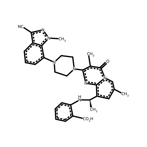 Cc1cc([C@@H](C)Nc2ccccc2C(=O)O)c2nc(N3CCN(c4cccc5c(C#N)nn(C)c45)CC3)c(C)c(=O)n2c1